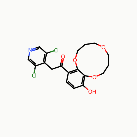 O=C(Cc1c(Cl)cncc1Cl)c1ccc(O)c2c1OCCCOCCCO2